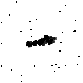 CC(C)[C@H](NC(=O)O)C(=O)N1CCC[C@H]1c1nc2cc(-c3ccc(B4OC(C)(C)C(C)(C)O4)cn3)ccc2[nH]1